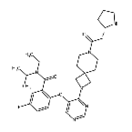 CCN(C(=O)c1cc(F)ccc1Oc1cncnc1N1CC2(CCN(C(=O)C[C@@H]3CCCN3)CC2)C1)C(C)C